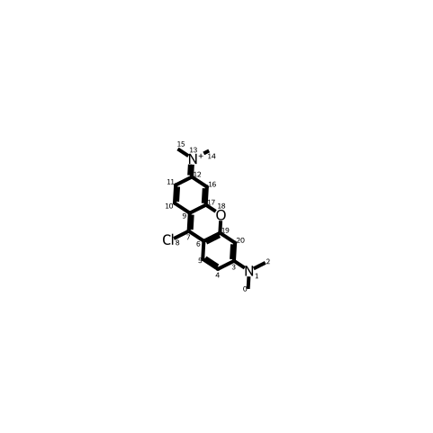 CN(C)c1ccc2c(Cl)c3ccc(=[N+](C)C)cc-3oc2c1